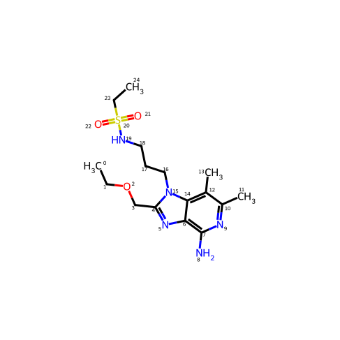 CCOCc1nc2c(N)nc(C)c(C)c2n1CCCNS(=O)(=O)CC